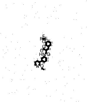 CCOc1ncccc1-c1cccc(NC(=O)c2cc3cccc(OC(F)(F)F)c3oc2=O)c1